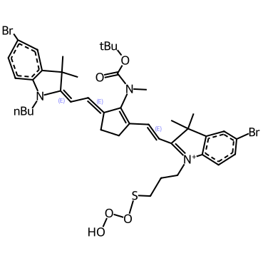 CCCCN1/C(=C/C=C2\CCC(/C=C/C3=[N+](CCCSOOO)c4ccc(Br)cc4C3(C)C)=C2N(C)C(=O)OC(C)(C)C)C(C)(C)c2cc(Br)ccc21